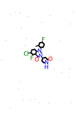 Cc1cc(F)ccc1N1CN(c2cc[nH]c(=O)c2)C(=O)c2c1ccc(Cl)c2F